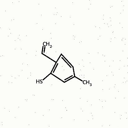 C=Cc1ccc(C)cc1S